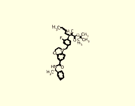 C=C(C(=O)OC(C)(C)C)/C(=C\C=C/C)c1ccc(CN2CCOc3cc(C(=O)N[C@@H](C)c4ccccc4)ccc32)cc1F